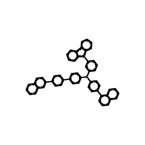 c1cc(N(c2ccc(-c3ccc(-c4ccc5ccccc5c4)cc3)cc2)c2ccc(-c3cccc4ccccc34)cc2)cc(-n2c3ccccc3c3ccccc32)c1